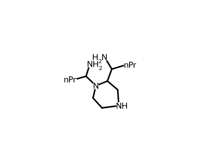 CCCC(N)C1CNCCN1C(N)CCC